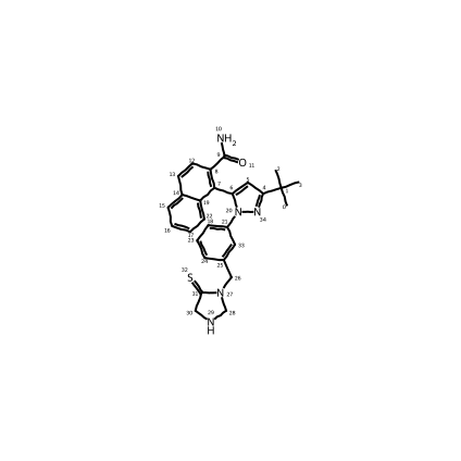 CC(C)(C)c1cc(-c2c(C(N)=O)ccc3ccccc23)n(-c2cccc(CN3CNCC3=S)c2)n1